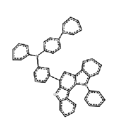 c1ccc(-c2ccc(N(c3ccccc3)c3cccc(-c4cc5c6ccccc6n(-c6ccccc6)c5c5c4oc4ccccc45)c3)cc2)cc1